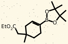 CCOC(=O)CC1(C)CC=C(B2OC(C)(C)C(C)(C)O2)CC1